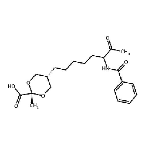 CC(=O)C(CCCCC[C@H]1CO[C@@](C)(C(=O)O)OC1)NC(=O)c1ccccc1